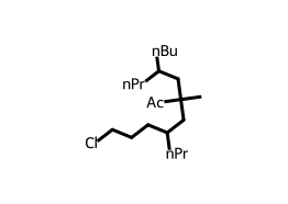 CCCCC(CCC)CC(C)(CC(CCC)CCCCl)C(C)=O